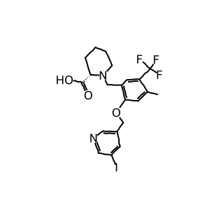 Cc1cc(OCc2cncc(I)c2)c(CN2CCCC[C@H]2C(=O)O)cc1C(F)(F)F